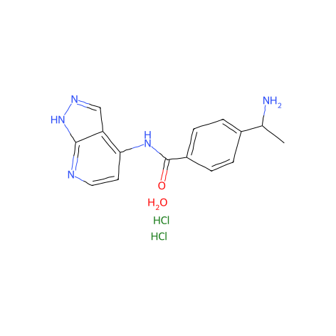 CC(N)c1ccc(C(=O)Nc2ccnc3[nH]ncc23)cc1.Cl.Cl.O